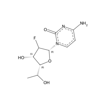 CC(O)[C@H]1O[C@@H](n2ccc(N)nc2=O)C(F)[C@H]1O